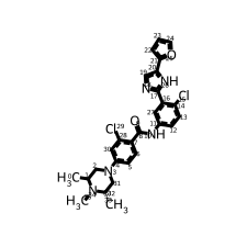 CC1CN(c2ccc(C(=O)Nc3ccc(Cl)c(-c4ncc(-c5ccco5)[nH]4)c3)c(Cl)c2)C[C@H](C)N1C